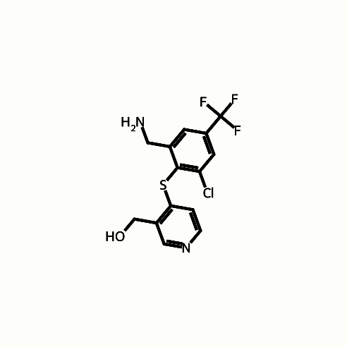 NCc1cc(C(F)(F)F)cc(Cl)c1Sc1ccncc1CO